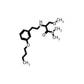 CCCCOc1cccc(CCNC(COC)C(=O)N(C)C)c1